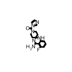 NC1=NC2(CCN(C(=O)n3ccnc3)CC2)Nc2cccc(F)c21